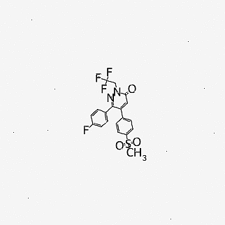 CS(=O)(=O)c1ccc(-c2cc(=O)n(CC(F)(F)F)nc2-c2ccc(F)cc2)cc1